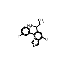 CCC(N)c1cc(Cl)c2cncn2c1-c1cccc(F)c1